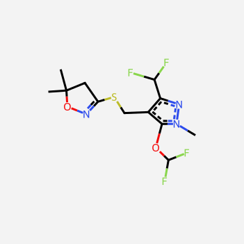 Cn1nc(C(F)F)c(CSC2=NOC(C)(C)C2)c1OC(F)F